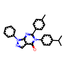 Cc1ccc(-c2nc3c(cnn3-c3ccccc3)c(=O)n2-c2ccc(C(C)C)cc2)cc1